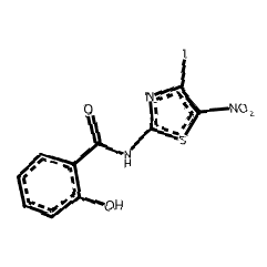 O=C(Nc1nc(I)c([N+](=O)[O-])s1)c1ccccc1O